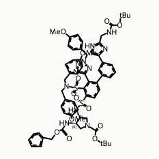 COc1ccc(CN(Cc2ccc(OC)cc2)S(=O)(=O)c2c(S(=O)(=O)N[C@H]3CN(C(=O)OC(C)(C)C)C[C@H]3NC(=O)OCc3ccccc3)ccc(-c3cccc(-c4c[nH]c(CNC(=O)OC(C)(C)C)n4)c3)c2-c2nnn(Cc3ccc(OC)cc3)n2)cc1